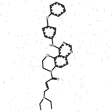 CCN(CC)C/C=C/C(=O)N1CCOc2c1ccc1ncnc(Nc3ccc(Oc4ccccc4)cc3)c21